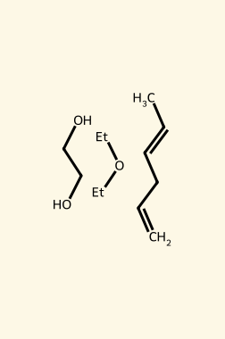 C=CC/C=C/C.CCOCC.OCCO